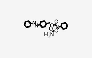 NC(=O)ON(C(=O)OCc1ccc(N=Nc2ccccc2)cc1)c1ccccc1